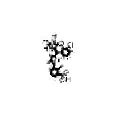 Cc1c(C(=O)O)cccc1-c1ccc(C(=C2NC(=O)NC2=O)c2cccc(Cl)c2)o1